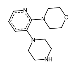 c1cnc(N2CCOCC2)c(N2CCNCC2)c1